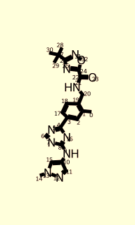 Cc1cc(-c2ncnc(Nc3cnn(C)c3)n2)ccc1CNC(=O)c1nc(C(C)(C)C)no1